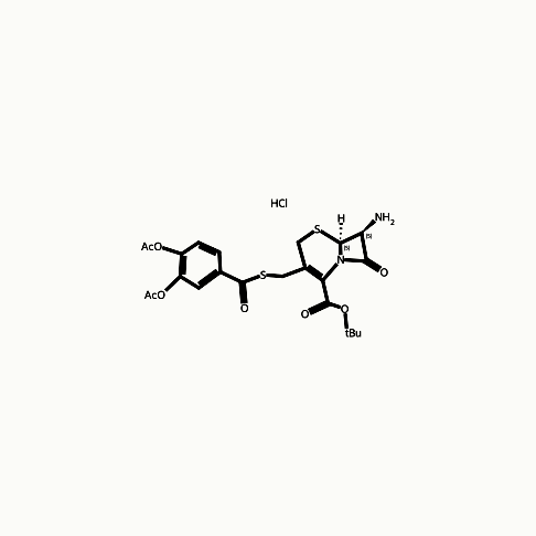 CC(=O)Oc1ccc(C(=O)SCC2=C(C(=O)OC(C)(C)C)N3C(=O)[C@H](N)[C@@H]3SC2)cc1OC(C)=O.Cl